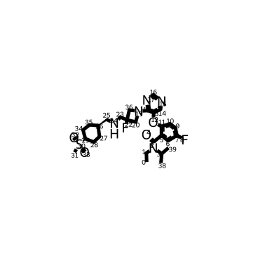 CCN(C(=O)c1cc(F)ccc1Oc1cncnc1N1CC(F)(CNC[C@H]2CC[C@H](S(C)(=O)=O)CC2)C1)C(C)C